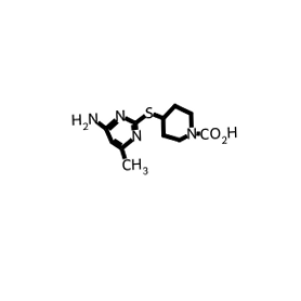 Cc1cc(N)nc(SC2CCN(C(=O)O)CC2)n1